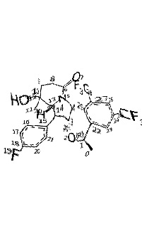 C[C@@H](O[C@H]1CN2C(=O)CCC(C)(O)[C@H]2C1c1ccc(F)cc1)c1cc(C(F)(F)F)cc(C(F)(F)F)c1